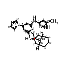 Cc1cc(Nc2cc(-n3ccnc3)nc(N[C@@H]3C[C@H]4CCC[C@@H](C3)N4CCC#N)n2)n[nH]1